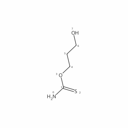 NC(=S)OCCCO